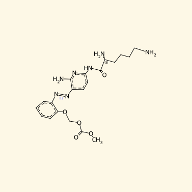 COC(=O)OCOc1ccccc1/N=N/c1ccc(NC(=O)[C@@H](N)CCCCN)nc1N